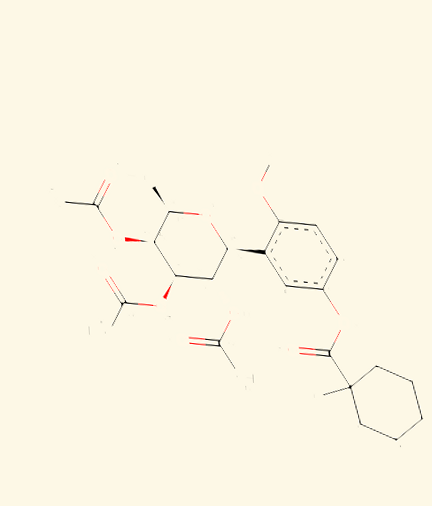 COc1ccc(OC(=O)C2(C)CCCCC2)cc1[C@@H]1O[C@H](C)[C@H](OC(C)=O)[C@H](OC(C)=O)[C@H]1OC(C)=O